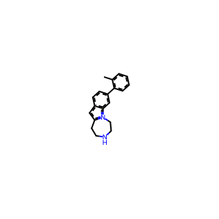 Cc1ccccc1-c1ccc2cc3n(c2c1)CCNCC3